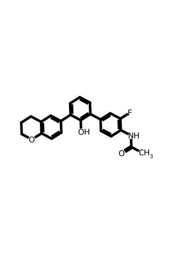 CC(=O)Nc1ccc(-c2cccc(-c3ccc4c(c3)CCCO4)c2O)cc1F